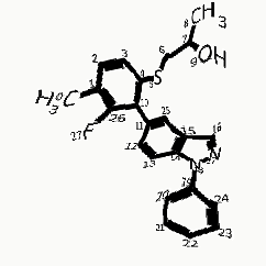 Cc1ccc(SCC(C)O)c(-c2ccc3c(cnn3-c3ccccc3)c2)c1F